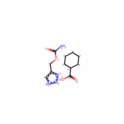 NC(=O)OCc1c[nH]nn1.O=C(O)C1CCCCC1